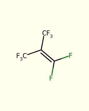 FC(F)=C(C(F)(F)F)C(F)(F)F